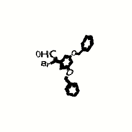 O=CC(Br)c1cc(OCc2ccccc2)cc(OCc2ccccc2)c1